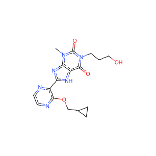 Cn1c(=O)n(CCCO)c(=O)c2[nH]c(-c3nccnc3OCC3CC3)nc21